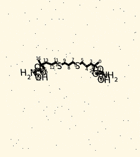 CC(C)(CCCSCCCSCCCC(C)(C)OP(N)(=O)O)OP(N)(=O)O